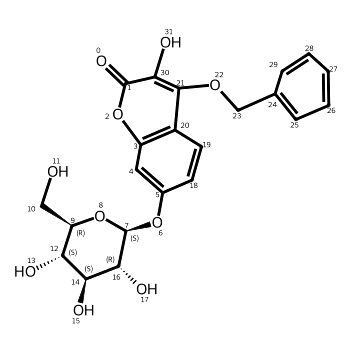 O=c1oc2cc(O[C@@H]3O[C@H](CO)[C@@H](O)[C@H](O)[C@H]3O)ccc2c(OCc2ccccc2)c1O